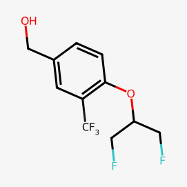 OCc1ccc(OC(CF)CF)c(C(F)(F)F)c1